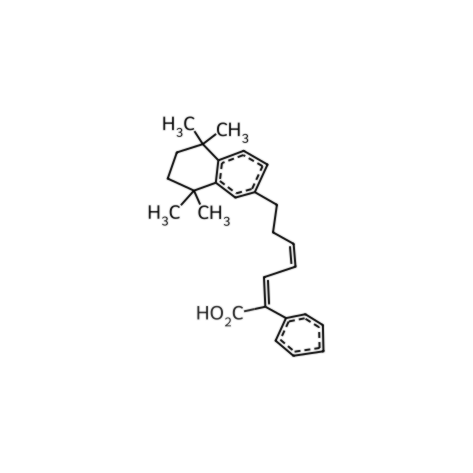 CC1(C)CCC(C)(C)c2cc(CC/C=C\C=C(\C(=O)O)c3ccccc3)ccc21